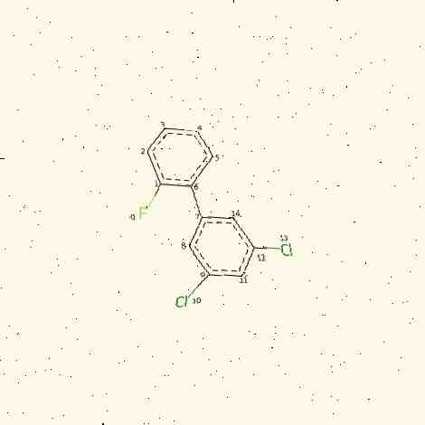 Fc1ccccc1-c1cc(Cl)[c]c(Cl)c1